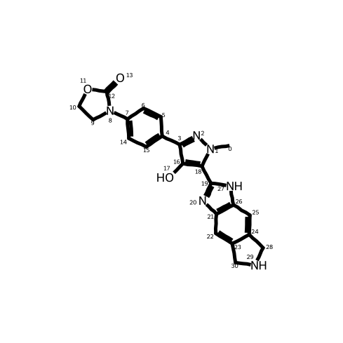 Cn1nc(-c2ccc(N3CCOC3=O)cc2)c(O)c1-c1nc2cc3c(cc2[nH]1)CNC3